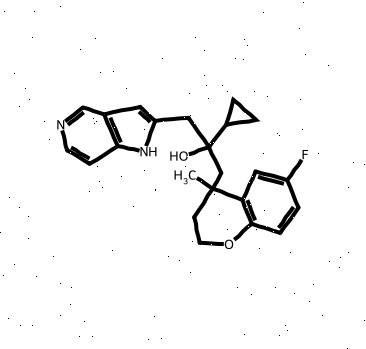 CC1(CC(O)(Cc2cc3cnccc3[nH]2)C2CC2)CCOc2ccc(F)cc21